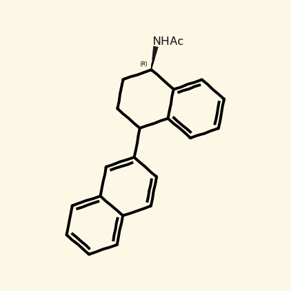 CC(=O)N[C@@H]1CCC(c2ccc3ccccc3c2)c2ccccc21